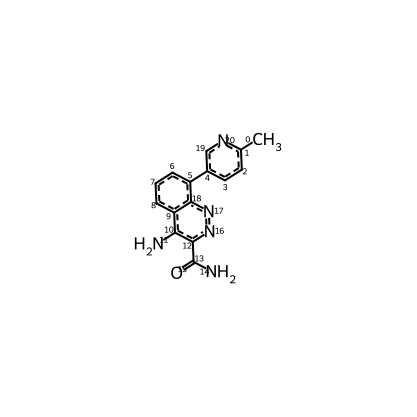 Cc1ccc(-c2cccc3c(N)c(C(N)=O)nnc23)cn1